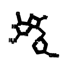 COc1cccc(Cn2c(Br)nc3c(=O)[nH]c(N)nc32)c1